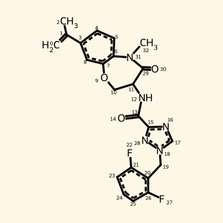 C=C(C)c1ccc2c(c1)OCC(NC(=O)c1ncn(Cc3c(F)cccc3F)n1)C(=O)N2C